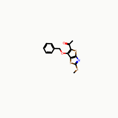 CSc1nc2sc(C(C)=O)c(OCc3ccccc3)c2s1